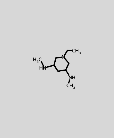 CCN1CC(NC)CC(NC)C1